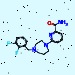 NC(=O)c1[c]ccc(N2CCCN(Cc3cccc(F)c3F)CC2)n1